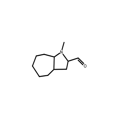 CN1C(C=O)CC2CCCCCC21